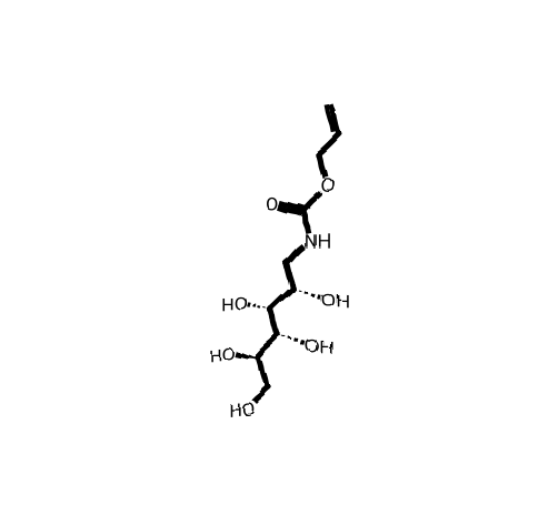 C=CCOC(=O)NC[C@H](O)[C@@H](O)[C@H](O)[C@H](O)CO